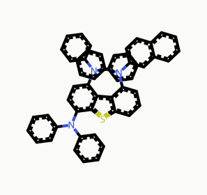 c1ccc(N(c2ccccc2)c2ccc(N(c3ccccc3)c3ccccc3)c3c2sc2cccc(N(c4ccccc4)c4ccc5ccccc5c4)c23)cc1